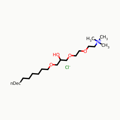 CCCCCCCCCCCCCCCCOCC(O)COCCOCC[N+](C)(C)C.[Cl-]